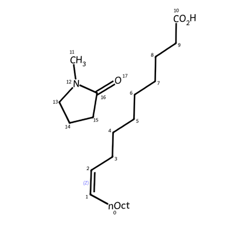 CCCCCCCC/C=C\CCCCCCCC(=O)O.CN1CCCC1=O